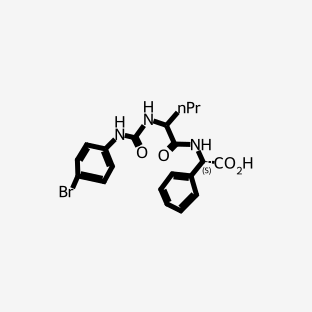 CCCC(NC(=O)Nc1ccc(Br)cc1)C(=O)N[C@H](C(=O)O)c1ccccc1